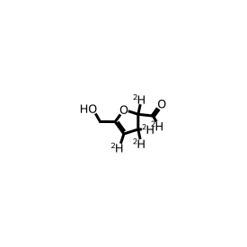 [2H]C(=O)C1([2H])OC(CO)=C([2H])C1([2H])[2H]